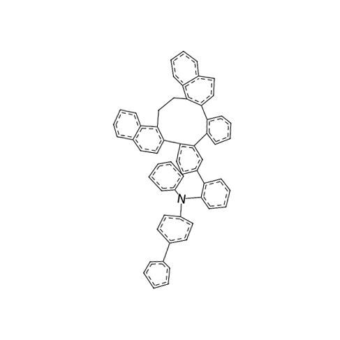 c1ccc(-c2ccc(N(c3ccccc3)c3ccccc3-c3ccc4c(c3)-c3ccccc3-c3ccc5ccccc5c3CCc3c-4ccc4ccccc34)cc2)cc1